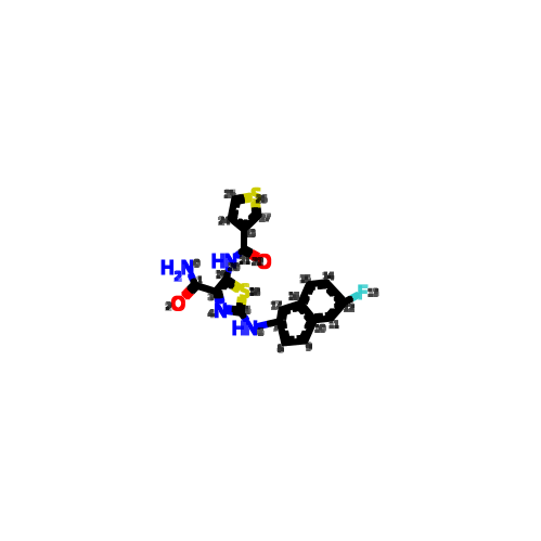 NC(=O)c1nc(Nc2ccc3cc(F)ccc3c2)sc1NC(=O)c1ccsc1